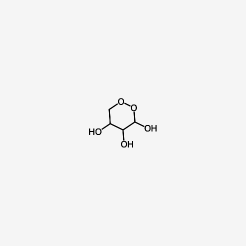 OC1COOC(O)C1O